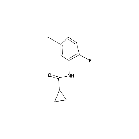 Cc1ccc(F)c(NC(=O)C2CC2)c1